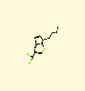 CCCCc1ccc2cc(C(F)(F)F)csc1-2